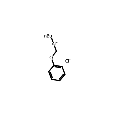 CCC[CH2][Al+][CH2]Oc1ccccc1.[Cl-]